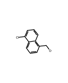 [O]Cc1cccc2c(Cl)cccc12